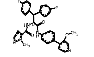 COc1cnccc1-c1ccc(NC(=O)[C@@H](NC(=O)c2ccnn2C)C(c2ccc(F)cc2)c2ccc(F)cc2)cc1